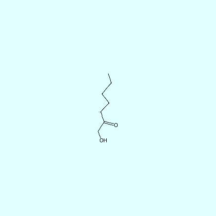 CCCC[CH]C(=O)CO